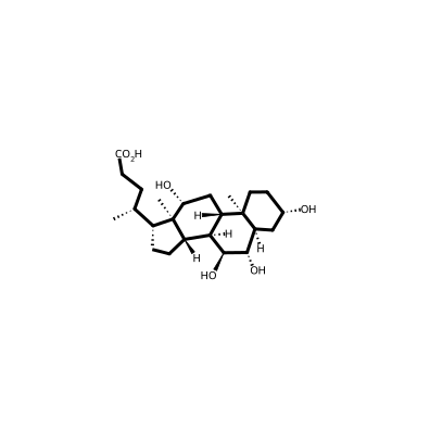 C[C@H](CCC(=O)O)[C@H]1CC[C@H]2[C@@H]3[C@H](O)[C@@H](O)[C@@H]4C[C@@H](O)CC[C@]4(C)[C@H]3C[C@@H](O)[C@]12C